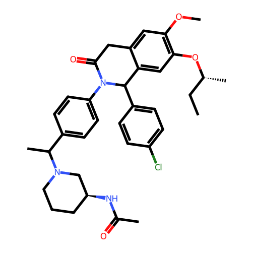 CC[C@@H](C)Oc1cc2c(cc1OC)CC(=O)N(c1ccc(C(C)N3CCC[C@H](NC(C)=O)C3)cc1)C2c1ccc(Cl)cc1